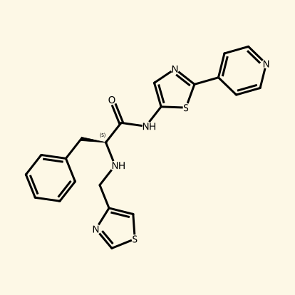 O=C(Nc1cnc(-c2ccncc2)s1)[C@H](Cc1ccccc1)NCc1cscn1